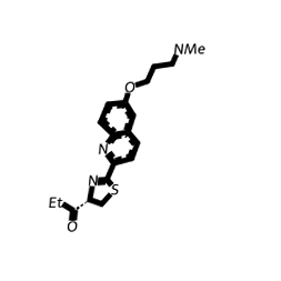 CCC(=O)[C@H]1CSC(c2ccc3cc(OCCCNC)ccc3n2)=N1